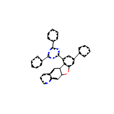 C1=c2cccnc2=CC2Oc3cc(-c4ccccc4)cc(-c4nc(-c5ccccc5)nc(-c5ccccc5)n4)c3C12